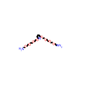 NCCOCCOCCOCCOc1cccc(OCCOCCOCCOCCN)n1